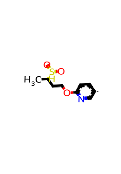 CC(CCOc1cc[c]cn1)[SH](=O)=O